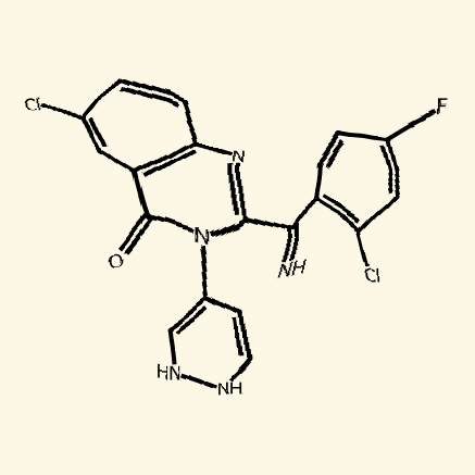 N=C(c1ccc(F)cc1Cl)c1nc2ccc(Cl)cc2c(=O)n1C1=CNNC=C1